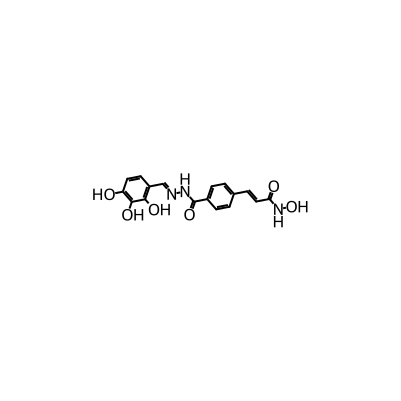 O=C(C=Cc1ccc(C(=O)NN=Cc2ccc(O)c(O)c2O)cc1)NO